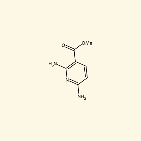 COC(=O)c1ccc(N)nc1N